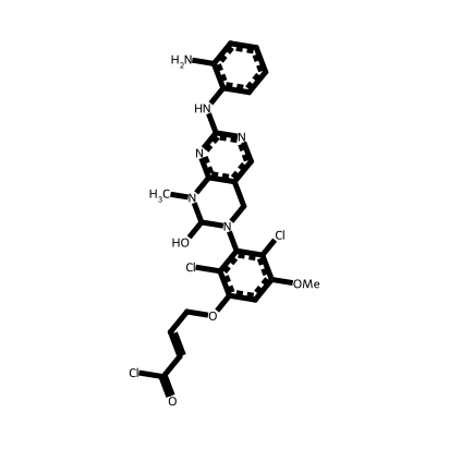 COc1cc(OC/C=C/C(=O)Cl)c(Cl)c(N2Cc3cnc(Nc4ccccc4N)nc3N(C)C2O)c1Cl